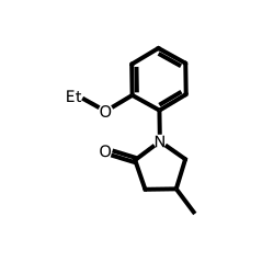 CCOc1ccccc1N1CC(C)CC1=O